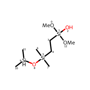 CO[Si](O)(CC[Si](C)(C)O[SiH](C)C)OC